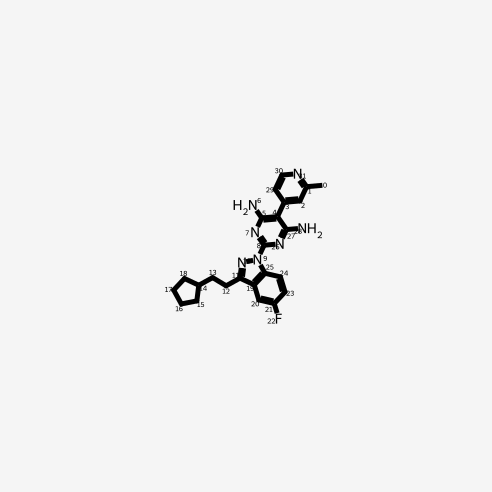 Cc1cc(-c2c(N)nc(-n3nc(CCC4CCCC4)c4cc(F)ccc43)nc2N)ccn1